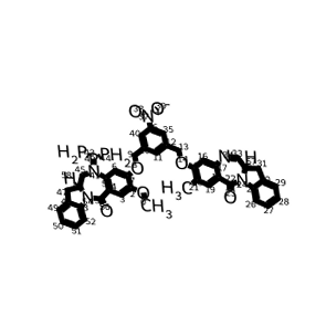 COc1cc2c(cc1OCc1cc(COc3cc4c(cc3C)C(=O)N3c5ccccc5C[C@H]3C=N4)cc([N+](=O)[O-])c1)N(P(P)P)C[C@@H]1Cc3ccccc3N1C2=O